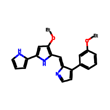 CCOc1cccc(C2=CC=NC2=Cc2[nH]c(-c3ccc[nH]3)cc2OCC)c1